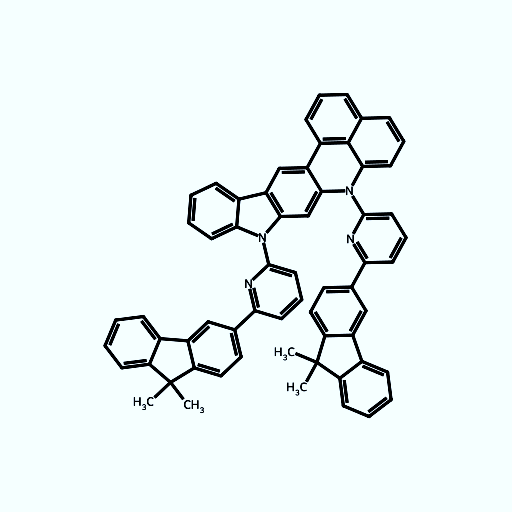 CC1(C)c2ccccc2-c2cc(-c3cccc(N4c5cc6c(cc5-c5cccc7cccc4c57)c4ccccc4n6-c4cccc(-c5ccc6c(c5)-c5ccccc5C6(C)C)n4)n3)ccc21